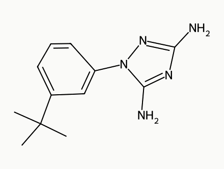 CC(C)(C)c1cccc(-n2nc(N)nc2N)c1